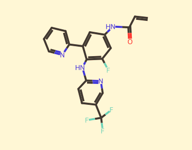 C=CC(=O)Nc1cc(F)c(Nc2ccc(C(F)(F)F)cn2)c(-c2ccccn2)c1